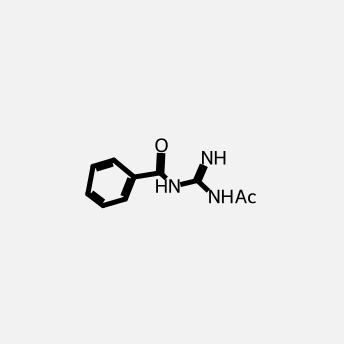 CC(=O)NC(=N)NC(=O)c1ccccc1